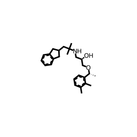 Cc1cccc([C@@H](C)OC[C@H](O)CNC(C)(C)CC2Cc3ccccc3C2)c1C